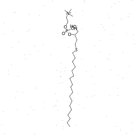 CCCCCCCCCCCCCCCCCCSCCC(CO)OP(=O)(O)OCC[N+](C)(C)C